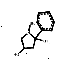 CC(C)(C)N1CC(O)CC1(C)c1ccccc1